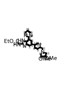 CCOC(=O)Nc1nc2cc(-c3ccc(CN4C[C@@H](OC)[C@H](OC)C4)nc3)cc(-c3ncccn3)c2[nH]1